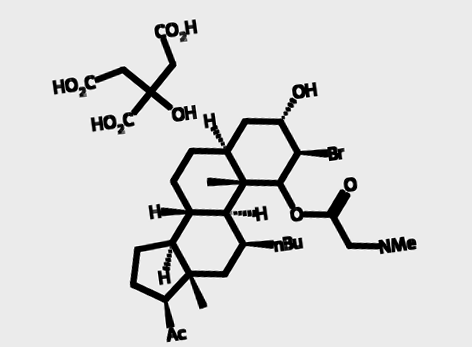 CCCC[C@H]1C[C@]2(C)[C@@H](C(C)=O)CC[C@H]2[C@@H]2CC[C@H]3C[C@H](O)[C@@H](Br)C(OC(=O)CNC)[C@]3(C)[C@@H]12.O=C(O)CC(O)(CC(=O)O)C(=O)O